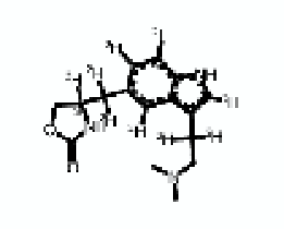 [2H]c1[nH]c2c([2H])c([2H])c(C([2H])([2H])[C@@]3([2H])COC(=O)N3)c([2H])c2c1C([2H])([2H])CN(C)C